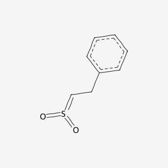 O=S(=O)=CCc1ccccc1